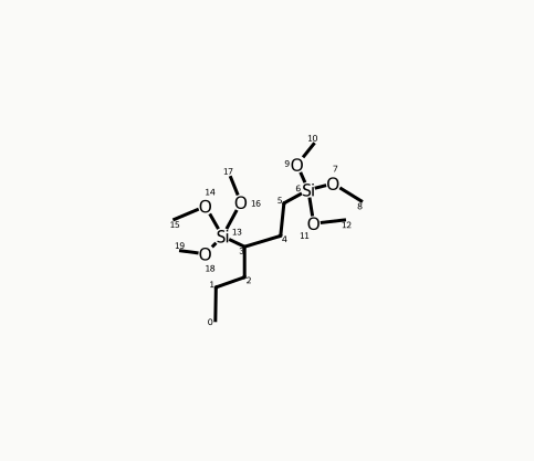 CCCC(CC[Si](OC)(OC)OC)[Si](OC)(OC)OC